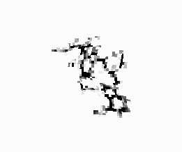 CCCCCOC(=O)[C@@H](NP(=O)(CO[C@H](CO)Cn1cnc2c(N)ncnc21)N[C@H](C(=O)OCCCCC)C(C)C)C(C)C